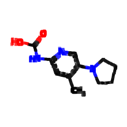 Cc1cc(NC(=O)O)ncc1N1CCCC1